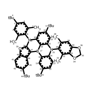 Cc1cc(C(C)(C)C)cc(C)c1N1c2cc(C(C)(C)C)cc3c2B(c2cc(C(C)(C)C)ccc2N3c2c(C)cc3c(c2C)OCO3)c2c1oc1ccc(C(C)(C)C)cc21